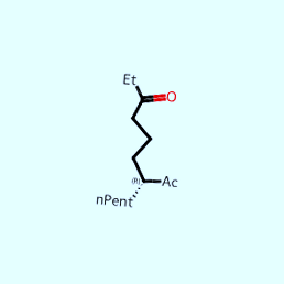 CCCCC[C@H](CCCC(=O)CC)C(C)=O